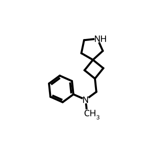 CN(CC1CC2(CCNC2)C1)c1ccccc1